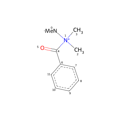 C[N][N+](C)(C)C(=O)c1ccccc1